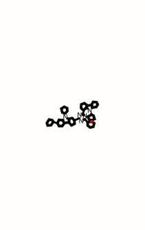 c1ccc(-c2ccc3c4ccc(-c5nc(-c6ccccc6)nc(-c6cccc7c8ccccc8n(-c8ccccc8)c67)n5)cc4n(-c4ccccc4)c3c2)cc1